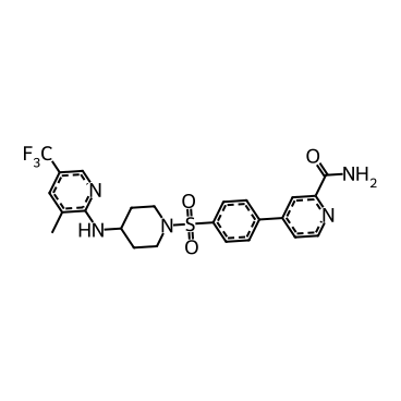 Cc1cc(C(F)(F)F)cnc1NC1CCN(S(=O)(=O)c2ccc(-c3ccnc(C(N)=O)c3)cc2)CC1